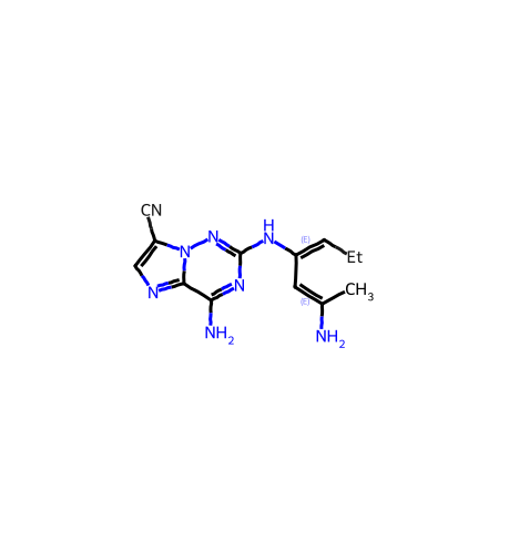 CC/C=C(\C=C(/C)N)Nc1nc(N)c2ncc(C#N)n2n1